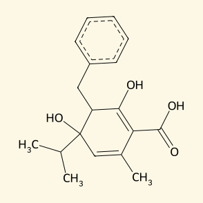 CC1=CC(O)(C(C)C)C(Cc2ccccc2)C(O)=C1C(=O)O